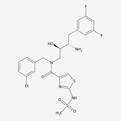 CCc1cccc(CN(C[C@@H](O)[C@@H](N)Cc2cc(F)cc(F)c2)C(=O)c2csc(NS(C)(=O)=O)n2)c1